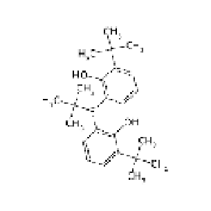 CC(C)(C)c1cccc(P(c2cccc(C(C)(C)C)c2O)C(C)(C)C)c1O